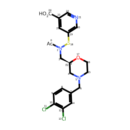 CC(=O)N(C[C@@H]1CN(Cc2ccc(Cl)c(Cl)c2)CCO1)Sc1cncc(C(=O)O)c1